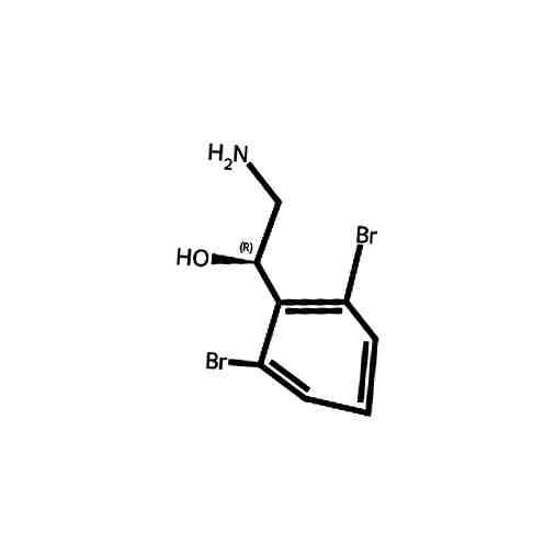 NC[C@H](O)c1c(Br)cccc1Br